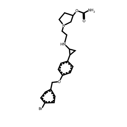 NC(=O)OC1CCN(CCNC2CC2c2ccc(OCc3ccc(Br)cc3)cc2)C1